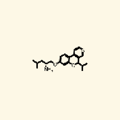 CC(C)C[C@H](N)COc1ccc2c(c1)OC(C(C)C)c1cnccc1-2